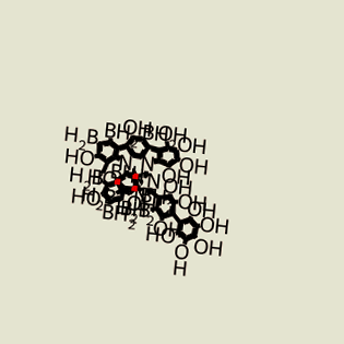 Bc1c(B)c(-c2nc(-c3c(B)c(O)c(-c4c(O)c(O)c(O)c(O)c4O)c(O)c3O)nc(-n3c4c(O)c(O)c(O)c(O)c4c4c(B)c(O)c5c6c(B)c(B)c(O)c(C)c6n(-c6c(C)c(B)c(O)c(B)c6O)c5c43)n2)c(B)c(B)c1O